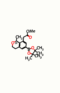 COC(=O)Cc1cc(B2OC(C)(C)C(C)(C)O2)cc2c1[C@H](C)OCC2